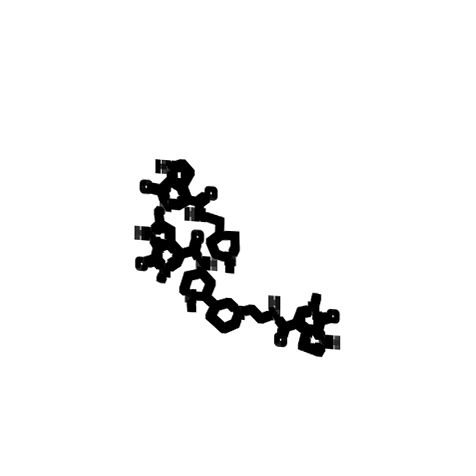 CN1CCC(CNC(=O)c2cn(Cc3cc4c(C(=O)NC5CCN(C)C(C6CCCN(CCNC(=O)c7cn(C)c(=O)c8[nH]ccc78)C6)C5)cn(C)c(=O)c4[nH]3)c(=O)c3[nH]ccc23)CC1